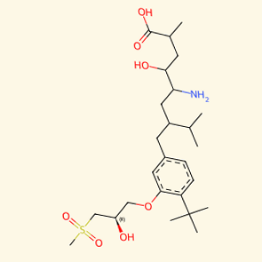 CC(CC(O)C(N)CC(Cc1ccc(C(C)(C)C)c(OC[C@@H](O)CS(C)(=O)=O)c1)C(C)C)C(=O)O